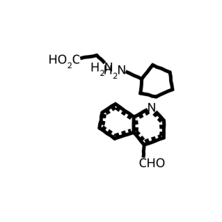 NC1CCCCC1.NCC(=O)O.O=Cc1ccnc2ccccc12